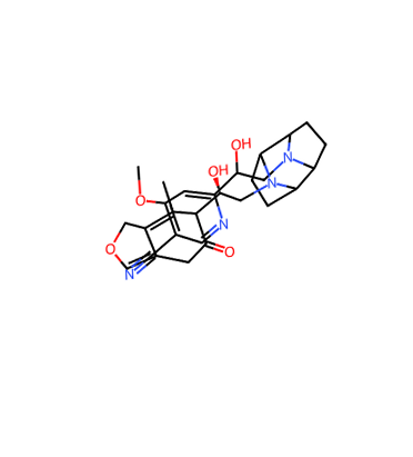 COc1cc(C(O)CN2C3CCC2C2CCC3N2C[C@H](O)C2C(=O)CC3=COCC3=C2C)ncc1C#N